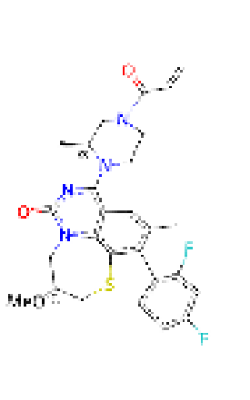 C=CC(=O)N1CCN(c2nc(=O)n3c4c(c(-c5ccc(F)cc5F)c(C)cc24)SC[C@H](OC)C3)[C@@H](C)C1